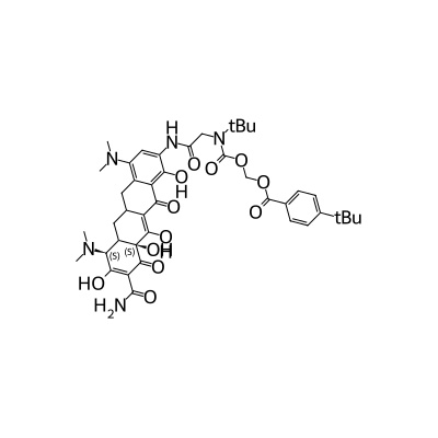 CN(C)c1cc(NC(=O)CN(C(=O)OCOC(=O)c2ccc(C(C)(C)C)cc2)C(C)(C)C)c(O)c2c1CC1CC3[C@H](N(C)C)C(O)=C(C(N)=O)C(=O)[C@@]3(O)C(O)=C1C2=O